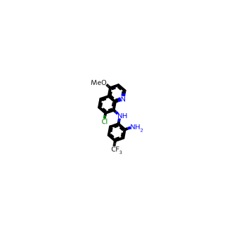 COc1ccnc2c(Nc3ccc(C(F)(F)F)cc3N)c(Cl)ccc12